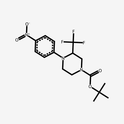 CC(C)(C)OC(=O)N1CCN(c2ccc([N+](=O)[O-])cc2)C(C(F)(F)F)C1